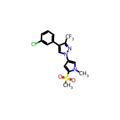 Cn1cc(-n2cc(-c3cccc(Cl)c3)c(C(F)(F)F)n2)cc1S(C)(=O)=O